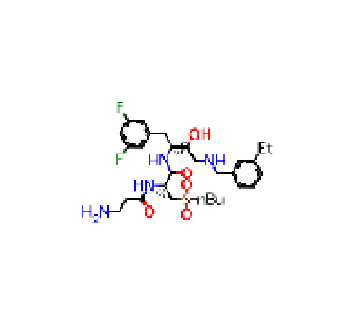 CCCCS(=O)(=O)C[C@@H](NC(=O)CCN)C(=O)N[C@@H](Cc1cc(F)cc(F)c1)[C@H](O)CNCc1cccc(CC)c1